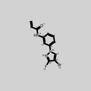 C=CC(=O)Nc1cccc(-n2cc(Br)c(F)n2)c1